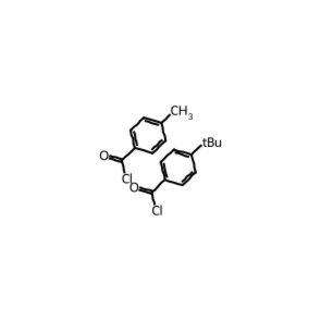 CC(C)(C)c1ccc(C(=O)Cl)cc1.Cc1ccc(C(=O)Cl)cc1